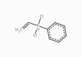 C=C[PH](Cl)(Cl)c1ccccc1